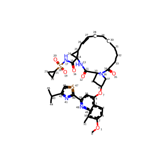 COc1ccc2c(OC3CC4C(=O)NC5(C(=O)NS(=O)(=O)C6CC6)CC5C=CCCCCCCC(=O)N4C3)cc(-c3nc(C(C)C)cs3)nc2c1C